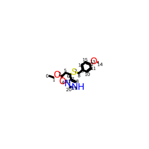 CCOC(=O)CC(SCc1ccc(OC)cc1)c1c[nH]cn1